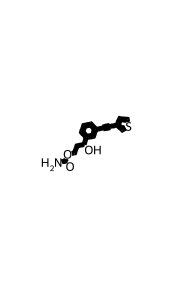 NC(=O)OCCC(O)c1cccc(C#Cc2ccsc2)c1